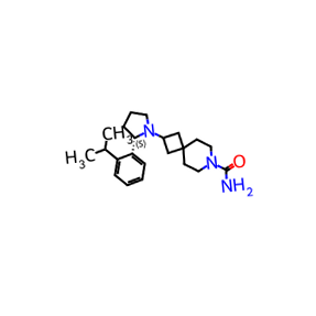 CC(C)c1ccccc1[C@@H]1CCCN1C1CC2(CCN(C(N)=O)CC2)C1